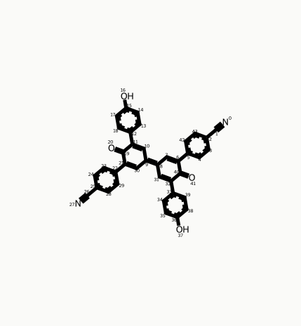 N#Cc1ccc(C2=C/C(=C3\C=C(c4ccc(O)cc4)C(=O)C(c4ccc(C#N)cc4)=C3)C=C(c3ccc(O)cc3)C2=O)cc1